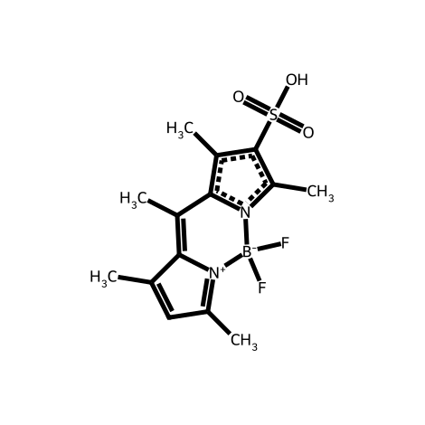 CC1=CC(C)=[N+]2C1=C(C)c1c(C)c(S(=O)(=O)O)c(C)n1[B-]2(F)F